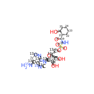 [15NH2][13CH]1C[13CH]=[15N][13c]2[13c]1[15n][13cH][15n]2[13C@@H]1O[13CH]([13CH2]OS(=O)(=O)NC(=O)c2ccccc2O)[13C@@H](O)[13C@H]1O